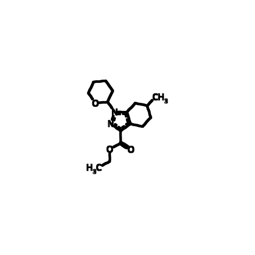 CCOC(=O)c1nn(C2CCCCO2)c2c1CCC(C)C2